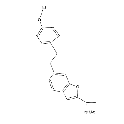 CCOc1ccc(CCc2ccc3cc(C(C)NC(C)=O)oc3c2)cn1